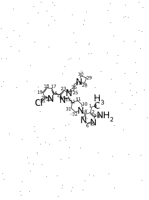 CCc1c(N)ncnc1N1CCC(c2nc(-c3cccc(Cl)n3)cn2CCN2CCC2)CC1